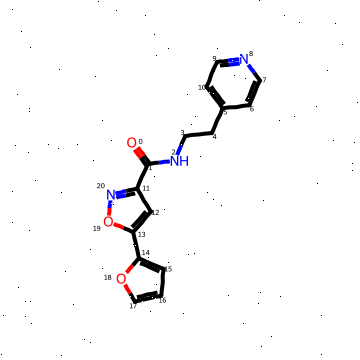 O=C(NCCc1ccncc1)c1cc(-c2ccco2)on1